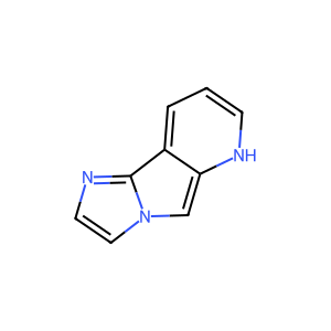 c1c[nH]c2cn3ccnc3c2c1